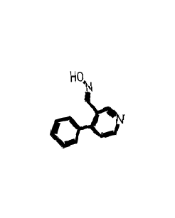 ON=Cc1cnccc1-c1ccccc1